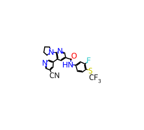 N#Cc1cncc(-c2cc(C(=O)Nc3ccc(SC(F)(F)F)c(F)c3)cnc2N2CCCC2)c1